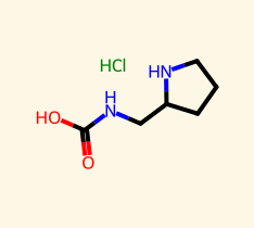 Cl.O=C(O)NCC1CCCN1